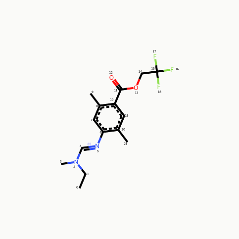 CCN(C)/C=N/c1cc(C)c(C(=O)OCC(F)(F)F)cc1C